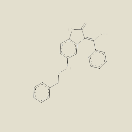 CNC(=C1C(=O)Nc2ccc(NNCc3ccccc3)cc21)c1ccccc1